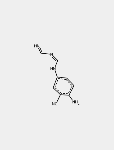 N#Cc1cc(N/C=N\C=N)ccc1N